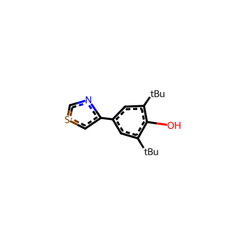 CC(C)(C)c1cc(-c2cscn2)cc(C(C)(C)C)c1O